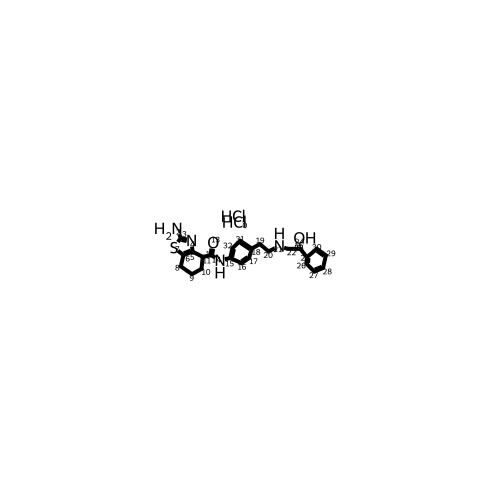 Cl.Cl.Nc1nc2c(s1)CCCC2C(=O)Nc1ccc(CCNC[C@H](O)c2ccccc2)cc1